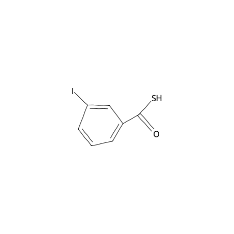 O=C(S)c1cccc(I)c1